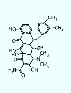 Cc1ccc(CC2c3cccc(O)c3C(=O)C3=C(O)C4(O)C(=O)C(C(N)=O)=C(O)C(N(C)C)C4C(O)C32)cc1C